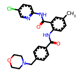 Cc1ccc(NC(=O)c2ccc(CN3CCOCC3)cc2)c(C(=O)Nc2ccc(Cl)cn2)c1